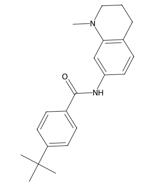 CN1CCCc2ccc(NC(=O)c3ccc(C(C)(C)C)cc3)cc21